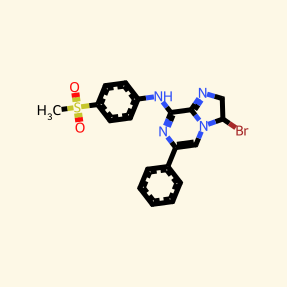 CS(=O)(=O)c1ccc(NC2=NC(c3ccccc3)=CN3C2=NCC3Br)cc1